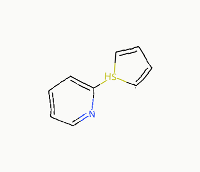 [C]1=CC=C[SH]1c1ccccn1